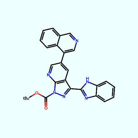 CC(C)(C)OC(=O)n1nc(-c2nc3ccccc3[nH]2)c2cc(-c3cncc4ccccc34)cnc21